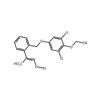 CCON=C(C(=O)O)c1ccccc1COc1cc(Cl)c(OCC#N)c(Cl)c1